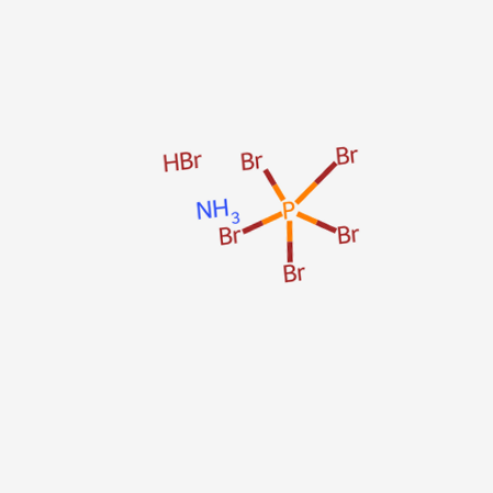 Br.BrP(Br)(Br)(Br)Br.N